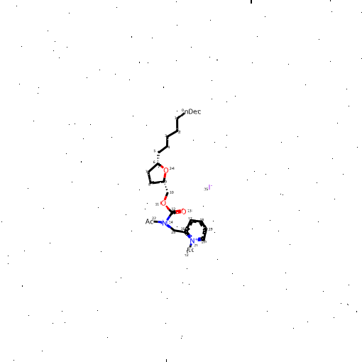 CCCCCCCCCCCCCCC[C@H]1CC[C@@H](COC(=O)N(Cc2cccc[n+]2CC)C(C)=O)O1.[I-]